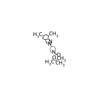 Cc1cc(C)c2nn(C3CCN(C(=O)OC(C)(C)C)CC3)cc2c1